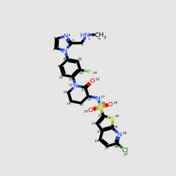 CNCc1nccn1-c1ccc(N2CCCC([N]S(=O)(=O)c3cc4ccc(Cl)nc4s3)C2=O)c(F)c1